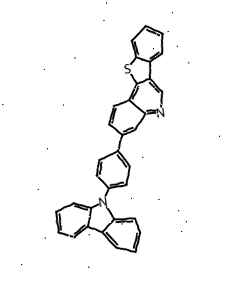 c1ccc2c(c1)sc1c3ccc(-c4ccc(-n5c6ccccc6c6ccccc65)cc4)cc3ncc21